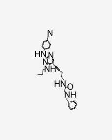 CCCNc1nc(Nc2ccc(C#N)cc2)ncc1C#CCCCNC(=O)CNCc1ccccc1